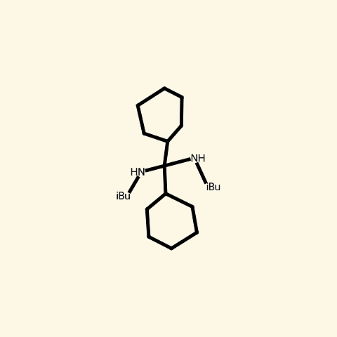 CCC(C)NC(NC(C)CC)(C1CCCCC1)C1CCCCC1